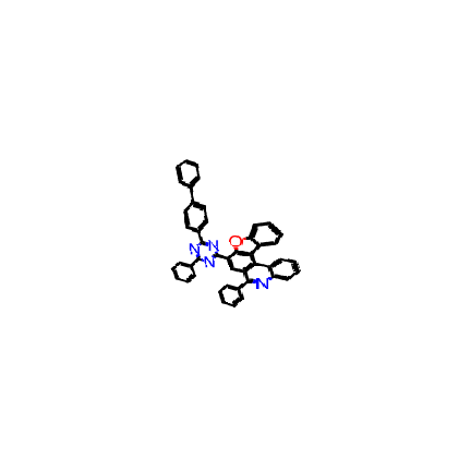 c1ccc(-c2ccc(-c3nc(-c4ccccc4)nc(-c4cc5c(-c6ccccc6)nc6ccccc6c5c5c4oc4ccccc45)n3)cc2)cc1